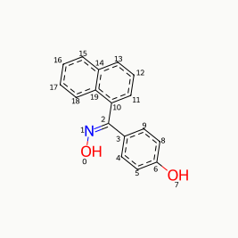 ON=C(c1ccc(O)cc1)c1cccc2ccccc12